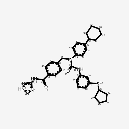 O=C(Nc1nn[nH]n1)c1ccc(CN(C(=O)Nc2cccc(SC3CCCC3)c2)c2ccc(C3CCCCC3)cc2)cc1